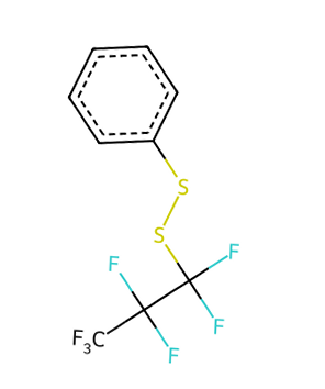 FC(F)(F)C(F)(F)C(F)(F)SSc1ccccc1